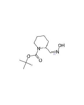 CC(C)(C)OC(=O)N1CCCCC1/C=N\O